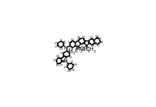 CC1(C)c2cc(N(c3ccccc3)c3ccc4c(c3)c3ccccc3n4-c3ccccc3)ccc2-c2ccc3c(c21)C(C)(C)c1cc2ccccc2cc1-3